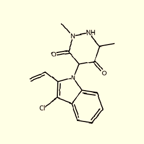 C=Cc1c(Cl)c2ccccc2n1C1C(=O)C(C)NN(C)C1=O